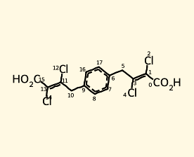 O=C(O)C(Cl)=C(Cl)Cc1ccc(CC(Cl)=C(Cl)C(=O)O)cc1